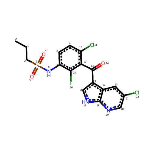 CCCS(=O)(=O)Nc1ccc(Cl)c(C(=O)c2c[nH]c3ncc(Cl)cc23)c1F